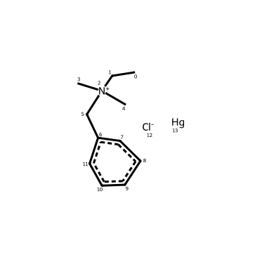 CC[N+](C)(C)Cc1ccccc1.[Cl-].[Hg]